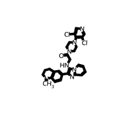 CN1CCCc2cc(-c3nc4ccccn4c3NCC(=O)N3CCN(c4c(Cl)cncc4Cl)CC3)ccc21